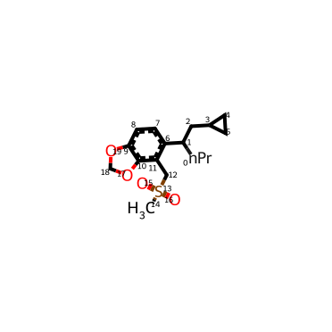 CCCC(CC1CC1)c1ccc2c(c1CS(C)(=O)=O)OCO2